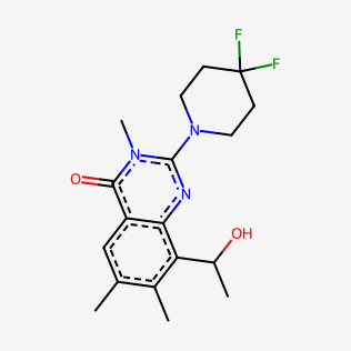 Cc1cc2c(=O)n(C)c(N3CCC(F)(F)CC3)nc2c(C(C)O)c1C